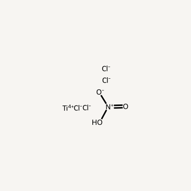 O=[N+]([O-])O.[Cl-].[Cl-].[Cl-].[Cl-].[Ti+4]